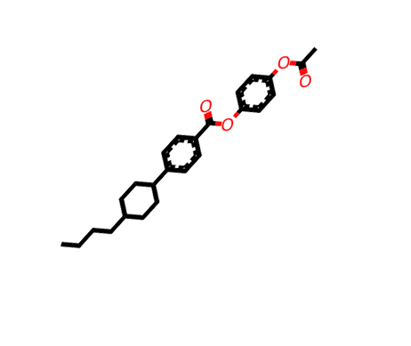 CCCCC1CCC(c2ccc(C(=O)Oc3ccc(OC(C)=O)cc3)cc2)CC1